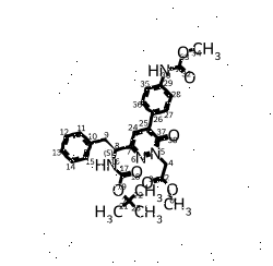 COC(=O)Cn1nc([C@H](Cc2ccccc2)NC(=O)OC(C)(C)C)cc(-c2ccc(NC(=O)OC)cc2)c1=O